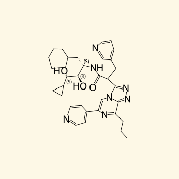 CCCc1nc(-c2ccncc2)cn2c(C(Cc3cccnc3)C(=O)N[C@@H](CC3CCCCC3)[C@@H](O)[C@@H](O)C3CC3)nnc12